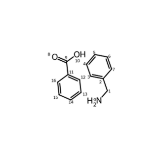 NCc1ccccc1.O=C(O)c1ccccc1